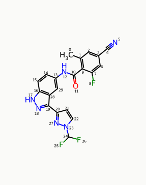 Cc1cc(C#N)cc(F)c1C(=O)Nc1ccc2[nH]nc(-c3ccn(C(F)F)n3)c2c1